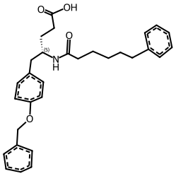 O=C(O)CC[C@@H](Cc1ccc(OCc2ccccc2)cc1)NC(=O)CCCCCc1ccccc1